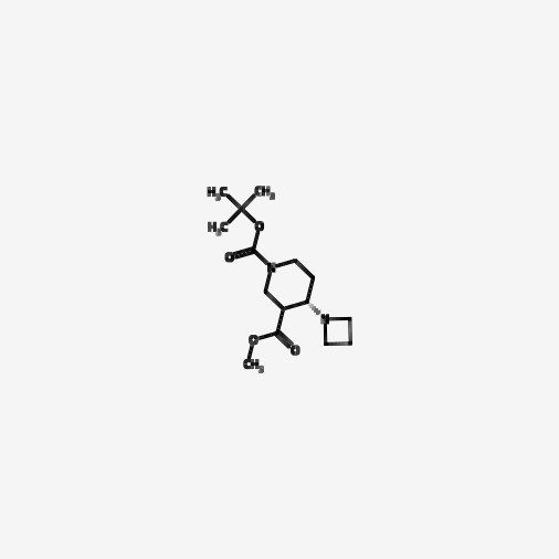 COC(=O)C1CN(C(=O)OC(C)(C)C)CC[C@@H]1N1CCC1